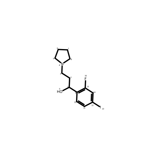 OC(CCN1CCCC1)c1ccc(I)cc1F